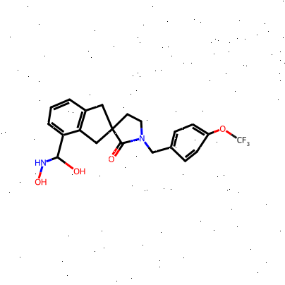 O=C1N(Cc2ccc(OC(F)(F)F)cc2)CCC12Cc1cccc(C(O)NO)c1C2